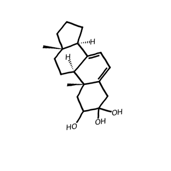 C[C@@]12CCC[C@H]1C1=CC=C3CC(O)(O)C(O)C[C@]3(C)[C@H]1CC2